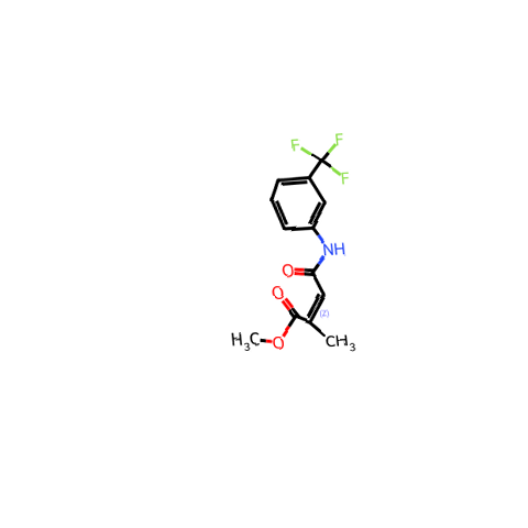 COC(=O)/C(C)=C\C(=O)Nc1cccc(C(F)(F)F)c1